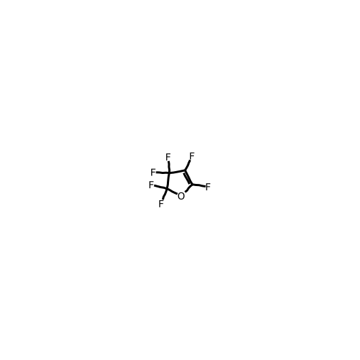 FC1=C(F)C(F)(F)C(F)(F)O1